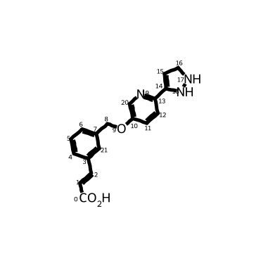 O=C(O)/C=C/c1cccc(COc2ccc(C3=CCNN3)nc2)c1